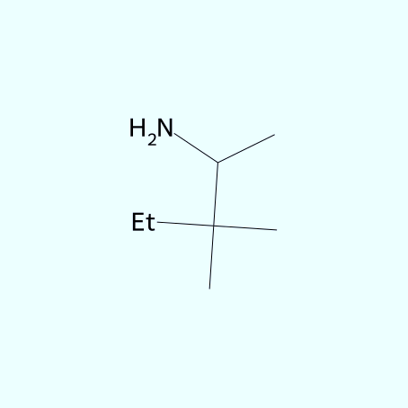 [CH2]CC(C)(C)C(C)N